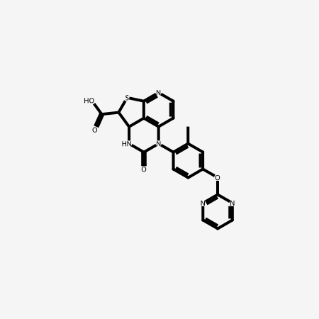 Cc1cc(Oc2ncccn2)ccc1N1C(=O)NC2c3c1ccnc3SC2C(=O)O